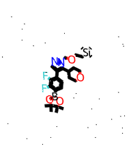 CC1(C)OB(c2ccc(-c3cnn(COCC[Si](C)(C)C)c3C3CCOCC3)c(F)c2F)OC1(C)C